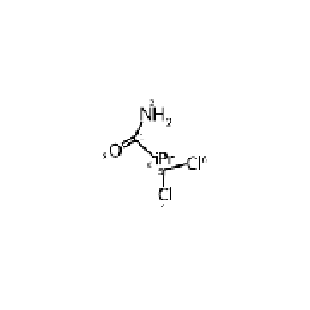 CC(C)C(N)=O.ClCCl